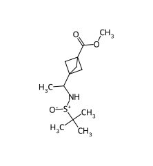 COC(=O)C12CC(C(C)N[S+]([O-])C(C)(C)C)(C1)C2